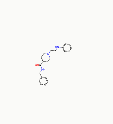 O=C(NCc1ccccc1)C1CCN(CCNc2ccccc2)CC1